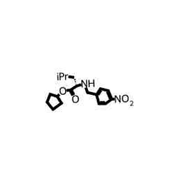 CC(C)C[C@H](NCc1ccc([N+](=O)[O-])cc1)C(=O)OC1CCCC1